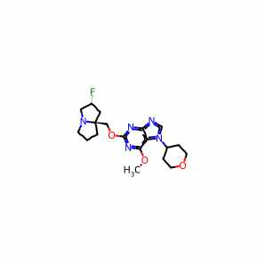 COc1nc(OC[C@@]23CCCN2C[C@H](F)C3)nc2ncn(C3CCOCC3)c12